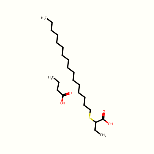 CCCC(=O)O.CCCCCCCCCCCCCCCCSC(CC)C(=O)O